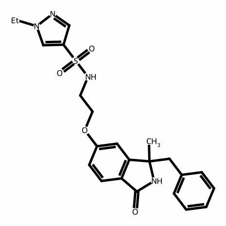 CCn1cc(S(=O)(=O)NCCOc2ccc3c(c2)C(C)(Cc2ccccc2)NC3=O)cn1